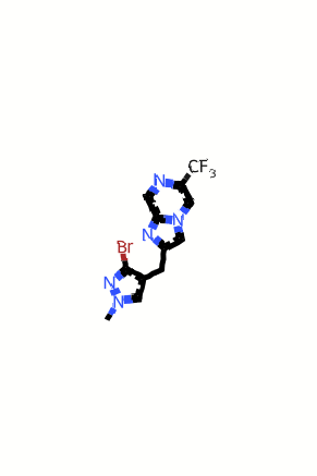 Cn1cc(Cc2cn3cc(C(F)(F)F)ncc3n2)c(Br)n1